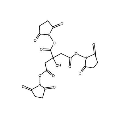 O=C(CC(O)(CC(=O)ON1C(=O)CCC1=O)C(=O)ON1C(=O)CCC1=O)ON1C(=O)CCC1=O